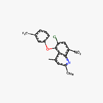 COc1cc(C)c2c(Oc3cccc(C(F)(F)F)c3)c(Cl)cc([N+](=O)[O-])c2n1